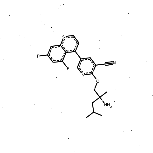 CC(C)CC(C)(N)COc1ncc(-c2ccnc3cc(F)cc(F)c23)cc1C#N